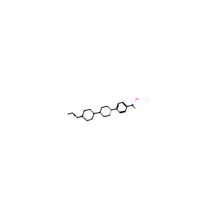 CCCC1CCC(C2CCC(c3ccc(C(C)=NO)cc3)CC2)CC1